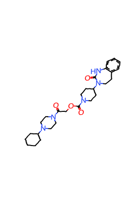 O=C(COC(=O)N1CCC(N2CCc3ccccc3NC2=O)CC1)N1CCN(C2CCCCC2)CC1